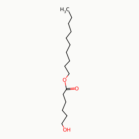 CCCCCCCCCCOC(=O)CCCCCO